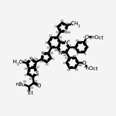 CCCCCCCCOc1cccc(-c2nc3c(-c4ccc(C)s4)ccc(-c4ccc(-c5sc(C)c6cc(C(=O)C(CC)CCCC)sc56)s4)c3nc2-c2cccc(OCCCCCCCC)c2)c1